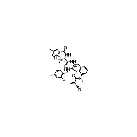 C=C(C#N)C(=O)N(C)c1cccc(C[C@H](NC(=O)[C@@H](NC(=O)c2cc(C)on2)[C@@H](C)O)C(=O)NCc2ccc(C)cc2F)c1